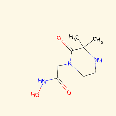 CC1(C)NCCN(CC(=O)NO)C1=O